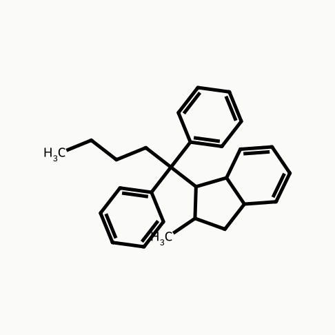 CCCCC(c1ccccc1)(c1ccccc1)C1C(C)CC2C=CC=CC21